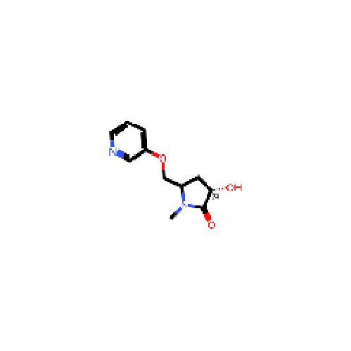 CN1C(=O)[C@@H](O)CC1COc1cccnc1